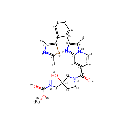 Cc1nc(C)c(-c2ccccc2-c2nc3cc(C(=O)N4CCC(O)(CNC(=O)OC(C)(C)C)C4)ccn3c2C)s1